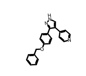 c1ccc(COc2ccc(-c3n[nH]cc3-c3ccncc3)cc2)cc1